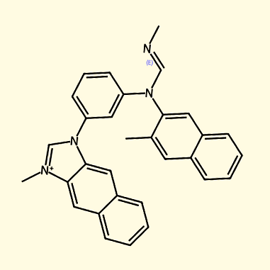 C/N=C/N(c1cccc(-n2c[n+](C)c3cc4ccccc4cc32)c1)c1cc2ccccc2cc1C